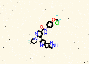 O=C(Nc1ccc(OC(F)(F)Cl)cc1)c1cnc(N2CC[C@H](F)C2)c(-c2cnc3c(c2)-c2n[nH]cc2C3)c1